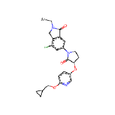 CC(=O)CN1Cc2c(F)cc(N3CC[C@@H](Oc4ccc(OCC5CC5)nc4)C3=O)cc2C1=O